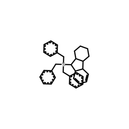 C1=CC2C(C=C1)[CH]([Ti]([CH2]c1ccccc1)([CH2]c1ccccc1)[CH2]c1ccccc1)C1CCCCC21